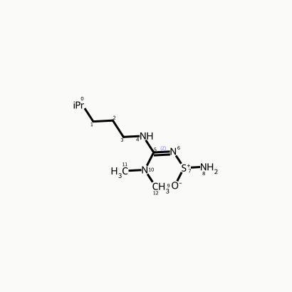 CC(C)CCCN/C(=N/[S+](N)[O-])N(C)C